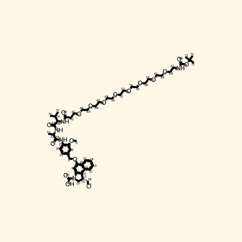 COc1cc(COc2cc3c(c4ccccc24)[C@H](CCl)CN3C(=O)O)ccc1NC(=O)C(C)NC(=O)C(NC(=O)CCOCCOCCOCCOCCOCCOCCOCCOCCNC(=O)OC(C)(C)C)C(C)C